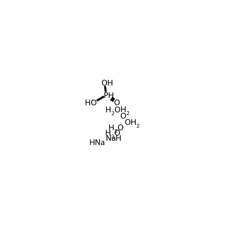 O.O.O.O.O.O=[PH](O)O.[NaH].[NaH]